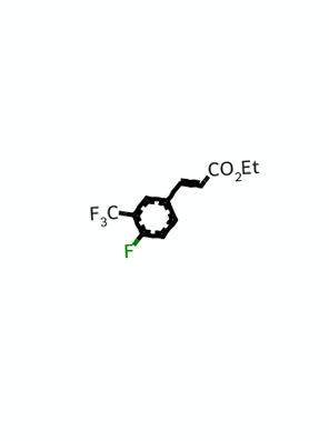 CCOC(=O)/C=C/c1ccc(F)c(C(F)(F)F)c1